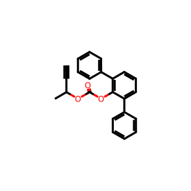 C#CC(C)OC(=O)Oc1c(-c2ccccc2)cccc1-c1ccccc1